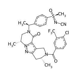 C[C@@H]1Cc2nn3c(c2CN1C(=O)c1ccc(Cl)c(C(F)(F)F)c1)C(=O)N([C@@H](C)c1ccc([S@](C)(=O)=NC#N)cc1)C[C@H]3C